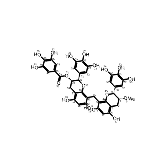 CO[C@@H]1Cc2c(O)cc(O)c(Cc3c(O)cc(O)c4c3O[C@H](c3cc(O)c(O)c(O)c3)[C@H](OC(=O)c3cc(O)c(O)c(O)c3)C4)c2O[C@@H]1c1cc(O)c(O)c(O)c1